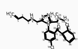 C=CCCNCc1nnc(CN(C)C)n1-c1ccc(Cl)cc1C(=O)c1ccccc1Cl